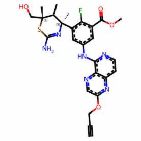 C#CCOc1cnc2c(Nc3cc(C(=O)OC)c(F)c([C@@]4(C)N=C(N)S[C@](C)(CO)C4C)c3)nccc2n1